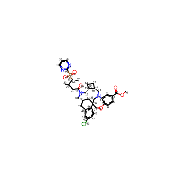 COC(=O)c1ccc2c(c1)N(C[C@@H]1CC[C@H]1CN(C)C(=O)C[C@@H](C)[C@H](C)S(=O)(=O)c1ncccn1)CC1(CCCc3cc(Cl)ccc31)CO2